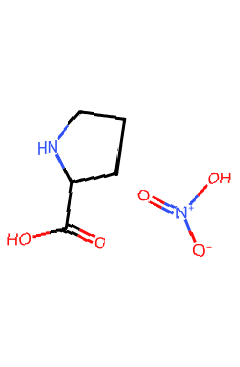 O=C(O)C1CCCN1.O=[N+]([O-])O